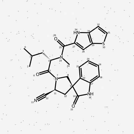 CC(C)C[C@@H](C(=O)N1C[C@]2(C[C@H]1C#N)C(=O)Nc1ccccc12)N(C)C(=O)c1cc2sccc2[nH]1